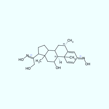 C[C@H]1CC2C3CCC(/C(CO)=N/O)C3(C)CC(O)[C@@H]2C2(C)C=C/C(=N\O)C=C12